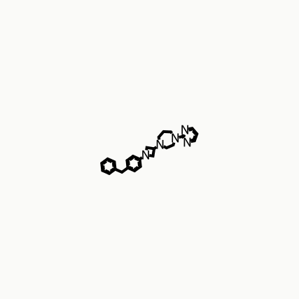 c1ccc(Cc2ccc(N3CC(N4CCCN(c5ncccn5)CC4)C3)cc2)cc1